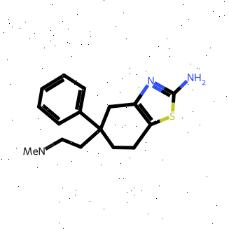 CNCCC1(c2ccccc2)CCc2sc(N)nc2C1